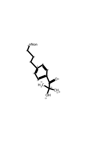 CCCCCCCCCCCCc1ccc(C(=O)C(C)(C)O)cc1